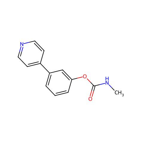 CNC(=O)Oc1cccc(-c2ccncc2)c1